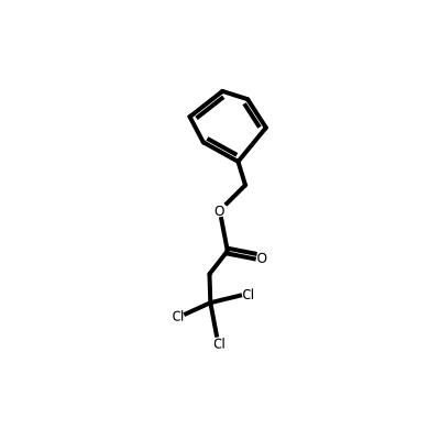 O=C(CC(Cl)(Cl)Cl)OCc1ccccc1